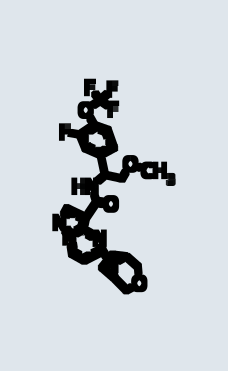 COCC(NC(=O)c1cnn2ccc(N3C4CCC3COC4)nc12)c1ccc(OC(F)(F)F)c(F)c1